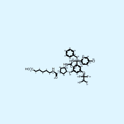 O=C(O)CCCCCNC(=O)[C@H]1CC[C@@H](NC(=O)N[C@@](Cc2ccccc2)(c2cc(F)cc(OC(F)(F)C(F)F)c2)c2ccc(Cl)cn2)C1